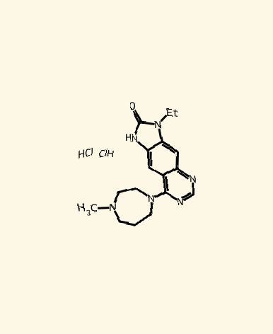 CCn1c(=O)[nH]c2cc3c(N4CCCN(C)CC4)ncnc3cc21.Cl.Cl